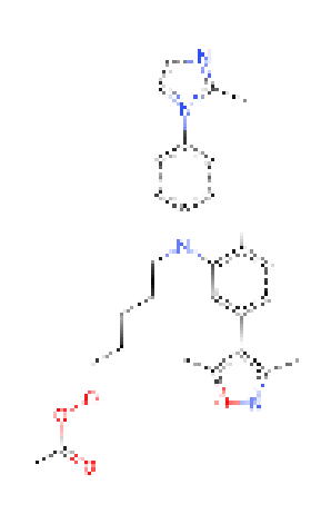 CC(=O)OOCCCCCN(c1ccc(-n2ccnc2C)cc1)c1cc(-c2c(C)noc2C)ccc1C